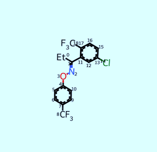 CC/C(=N\Oc1ccc(C(F)(F)F)cc1)c1cc(Cl)ccc1C(F)(F)F